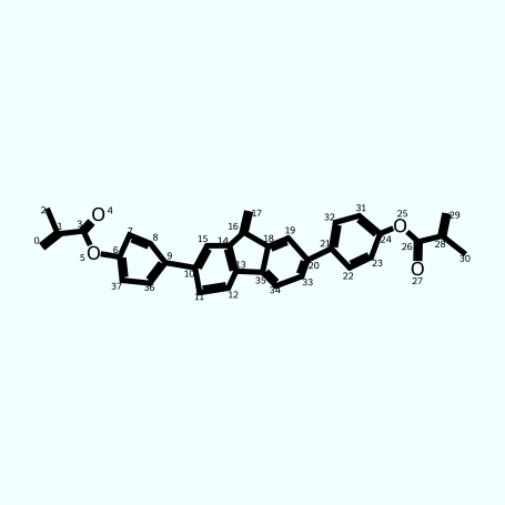 C=C(C)C(=O)Oc1ccc(-c2ccc3c(c2)C(=C)c2cc(-c4ccc(OC(=O)C(=C)C)cc4)ccc2-3)cc1